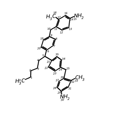 CCCCCC(c1ccc(Cc2ccc(N)cc2C)cc1)c1ccc(Cc2ccc(N)cc2C)cc1